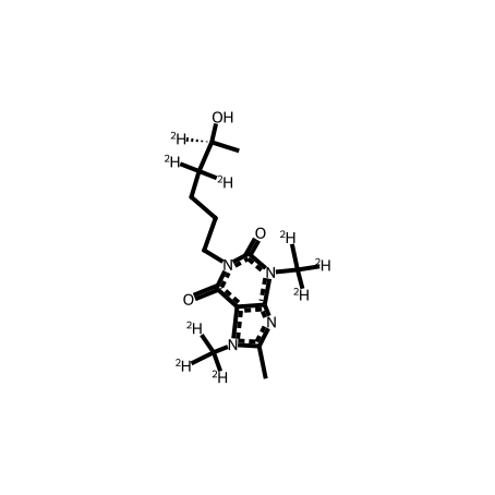 [2H]C([2H])([2H])n1c(C)nc2c1c(=O)n(CCCC([2H])([2H])[C@]([2H])(C)O)c(=O)n2C([2H])([2H])[2H]